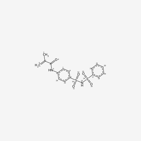 C=C(C)C(=O)Nc1ccc(S(=O)(=O)NS(=O)(=O)c2ccccc2)cc1